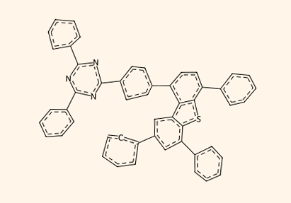 c1ccc(-c2cc(-c3ccccc3)c3sc4c(-c5ccccc5)ccc(-c5ccc(-c6nc(-c7ccccc7)nc(-c7ccccc7)n6)cc5)c4c3c2)cc1